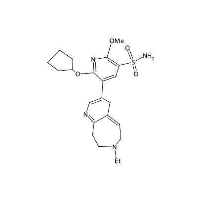 CCN1CC=C2CC(c3cc(S(N)(=O)=O)c(OC)nc3OC3CCCC3)=CN=C2CC1